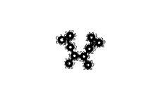 C1=Cc2c(n(-c3ccc(-c4cc(-c5ccccc5)cc(-c5cc(-c6ccccc6)cc(-c6ccc(-n7c8ccccc8c8ccccc87)cc6)c5)c4)cc3)c3ccccc23)CC1